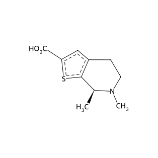 C[C@H]1c2sc(C(=O)O)cc2CCN1C